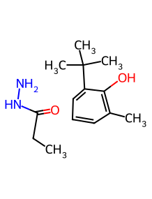 CCC(=O)NN.Cc1cccc(C(C)(C)C)c1O